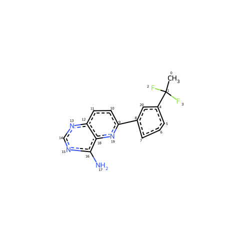 CC(F)(F)c1cccc(-c2ccc3ncnc(N)c3n2)c1